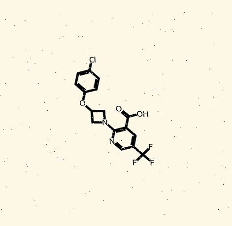 O=C(O)c1cc(C(F)(F)F)cnc1N1CC(Oc2ccc(Cl)cc2)C1